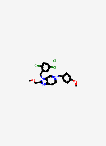 COCc1nc2cc[n+](Cc3ccc(OC)cc3)cc2n1Cc1cc(Cl)ccc1Cl.[Cl-]